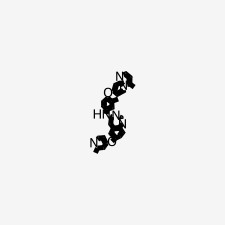 CC1=C=CN=C2C=C(Oc3ccc(NC4=NC=Nc5ccc(OC6=CC=NC(C)C6)cc5C4)cc3C)C=CN12